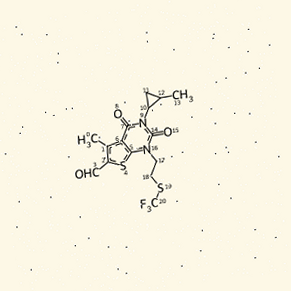 Cc1c(C=O)sc2c1c(=O)n(C1CC1C)c(=O)n2CCSC(F)(F)F